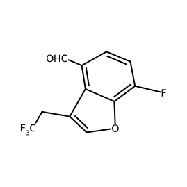 O=Cc1ccc(F)c2occ(CC(F)(F)F)c12